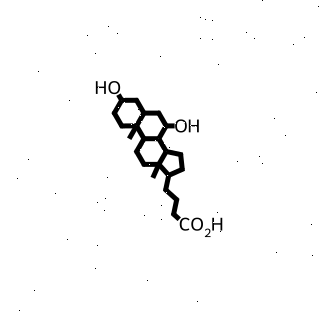 CC12CCC3C(C(O)CC4CC(O)CCC43C)C1CCC2CCCC(=O)O